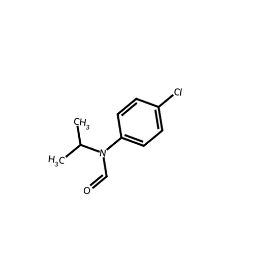 CC(C)N(C=O)c1ccc(Cl)cc1